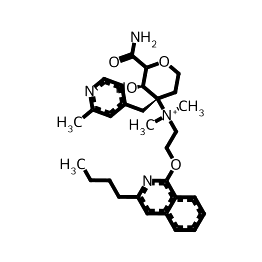 CCCCc1cc2ccccc2c(OCC[N+](C)(C)[C@@]2(Cc3ccnc(C)c3)CCOC(C(N)=O)[C@@H]2O)n1